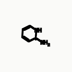 NI1C=CC=CN1